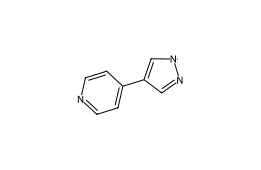 C1=N[N]C=C1c1ccncc1